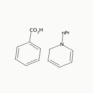 CCCN1C=CC=CC1.O=C(O)c1ccccc1